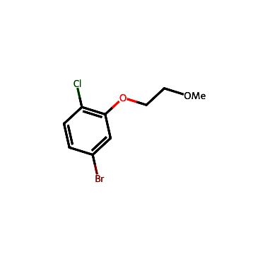 COCCOc1cc(Br)ccc1Cl